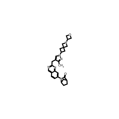 Cc1nn(C2CC3(C2)CN(C2COC2)C3)cc1Cc1ncc2ccc(N3C(=O)C4CCC3C4)cc2n1